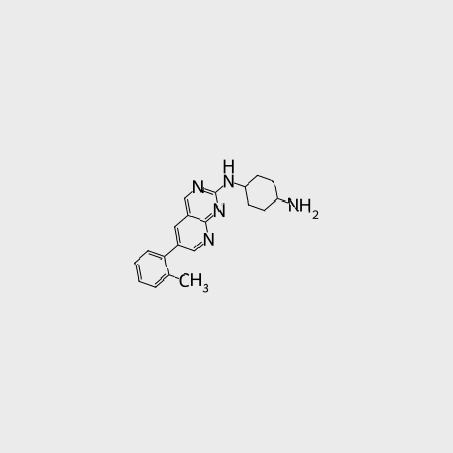 Cc1ccccc1-c1cnc2nc(NC3CCC(N)CC3)ncc2c1